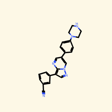 N#Cc1cccc(-c2cnn3cc(-c4ccc(N5CCNCC5)cc4)cnc23)c1